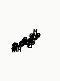 O=C1CC[C@H](N2Cc3c4c(cc(Cl)c3C2=O)C2(CCN(Cc3cccc5cn[nH]c35)CC2)CO4)C(=O)N1